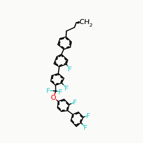 C=CCCc1ccc(-c2ccc(-c3ccc(C(F)(F)Oc4ccc(-c5ccc(F)c(F)c5)c(F)c4)c(F)c3)c(F)c2)cc1